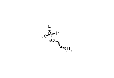 C=CCOS(=O)(=O)I